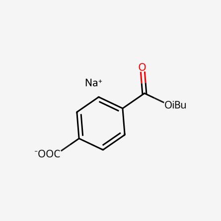 CC(C)COC(=O)c1ccc(C(=O)[O-])cc1.[Na+]